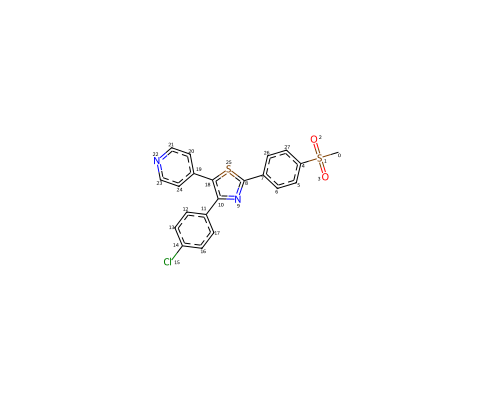 CS(=O)(=O)c1ccc(-c2nc(-c3ccc(Cl)cc3)c(-c3ccncc3)s2)cc1